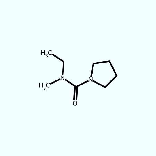 CCN(C)C(=O)N1CCCC1